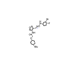 CC(C)(C)c1ccc(OCC(=O)Nc2nonc2/C=N/ONc2ccc(F)c(Br)c2)cc1